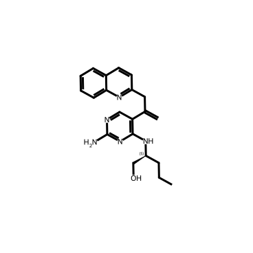 C=C(Cc1ccc2ccccc2n1)c1cnc(N)nc1N[C@H](CO)CCC